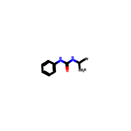 CC(C)C(NC(=O)Nc1ccccc1)C(=O)O